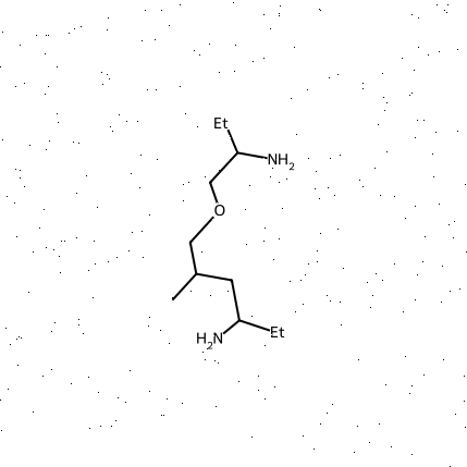 CCC(N)COCC(C)CC(N)CC